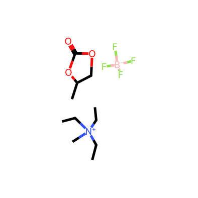 CC1COC(=O)O1.CC[N+](C)(CC)CC.F[B-](F)(F)F